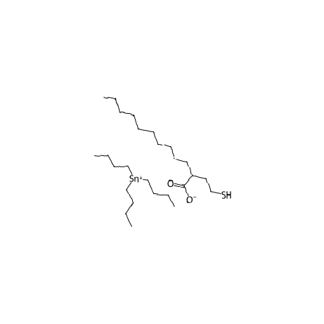 CCCCCCCCCCC(CCS)C(=O)[O-].CCC[CH2][Sn+]([CH2]CCC)[CH2]CCC